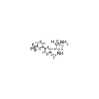 CC1(N)CCC(N[C@@H]2C[C@H]2c2ccc(-c3cccc(C(F)(F)F)c3)cc2)CC1